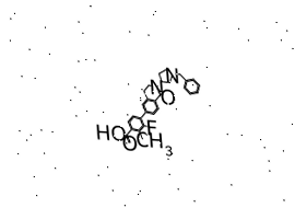 Cc1c(C(=O)O)ccc(-c2ccc3c(c2)CCN([C@@H]2CCN(Cc4ccccc4)C2)C3=O)c1F